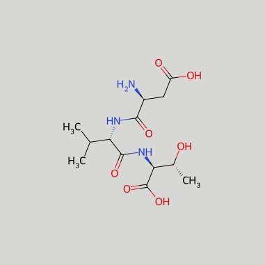 CC(C)[C@H](NC(=O)[C@@H](N)CC(=O)O)C(=O)N[C@H](C(=O)O)[C@@H](C)O